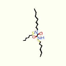 CCCCCCCCN(SCCCCCC)C(=O)C(=O)NSCCCCCC